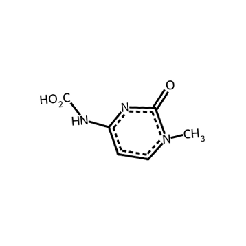 Cn1ccc(NC(=O)O)nc1=O